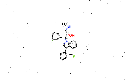 CNC[C@@H](O)[C@H](c1cccc(F)c1)n1cc(-c2ccccc2CF)c2ccccc21